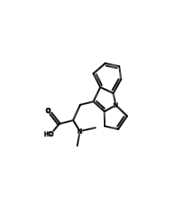 CN(C)C(Cc1c2n(c3ccccc13)C=CC2)C(=O)O